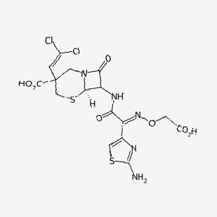 Nc1nc(C(=NOCC(=O)O)C(=O)NC2C(=O)N3CC(C=C(Cl)Cl)(C(=O)O)CS[C@H]23)cs1